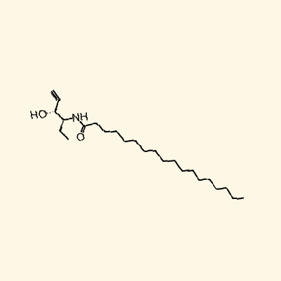 C=C[C@@H](O)[C@H](CC)NC(=O)CCCCCCCCCCCCCCCCC